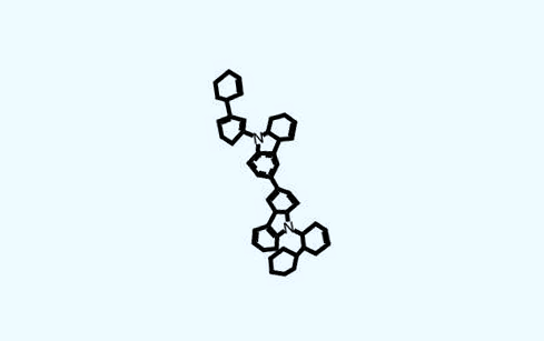 C1=CC(C2=CCCC(N3c4ccc(C5=CC6C7=C(CCC=C7)N(C7CC=CCC7C7CCCCC7)C6C=C5)cc4C4C=CCCC43)=C2)CCC1